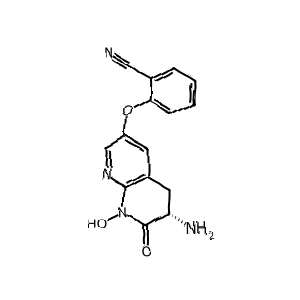 N#Cc1ccccc1Oc1cnc2c(c1)C[C@H](N)C(=O)N2O